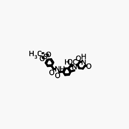 CCS(=O)(=O)c1ccc(C(=O)NC(=O)c2ccc3c(c2)C(=O)N(C2(C)CCC(=O)NC2=O)C3)cc1